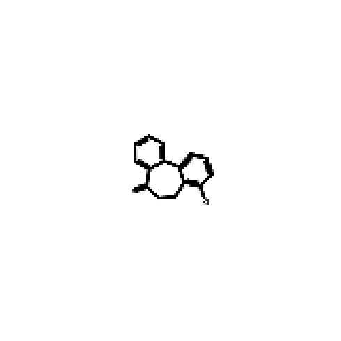 O=C1CCc2c(Cl)cccc2-c2ccccc21